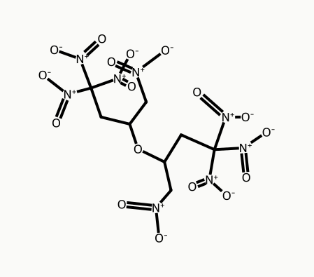 O=[N+]([O-])CC(CC([N+](=O)[O-])([N+](=O)[O-])[N+](=O)[O-])OC(C[N+](=O)[O-])CC([N+](=O)[O-])([N+](=O)[O-])[N+](=O)[O-]